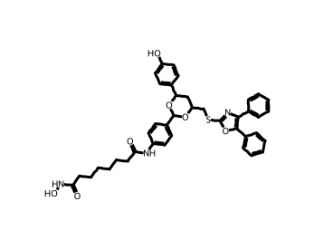 O=C(CCCCCCC(=O)Nc1ccc(C2OC(CSc3nc(-c4ccccc4)c(-c4ccccc4)o3)CC(c3ccc(O)cc3)O2)cc1)NO